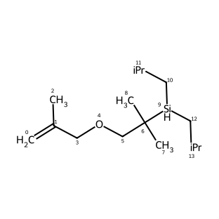 C=C(C)COCC(C)(C)[SiH](CC(C)C)CC(C)C